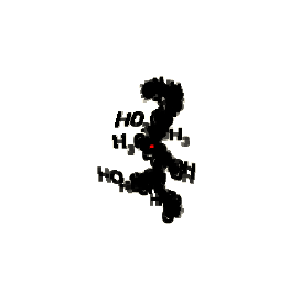 Cc1c(-c2ccc(N3CCc4cccc(C(=O)Nc5nc6ccccc6s5)c4C3)nc2C(=O)O)cnn1CC12CC3(C)CC(C)(C1)CC(OCCN(CC[C@H](O)CO)C(=O)OCc1ccc(CCCCNC(=O)CN4C(=O)C=CC4=O)cc1O[C@@H]1C[C@H](C(=O)O)[C@@H](O)[C@H](O)[C@H]1O)(C3)C2